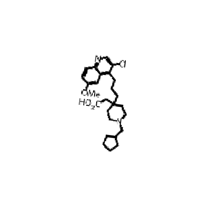 COc1ccc2ncc(Cl)c(CCCC3(CC(=O)O)CCN(CC4CCCC4)CC3)c2c1